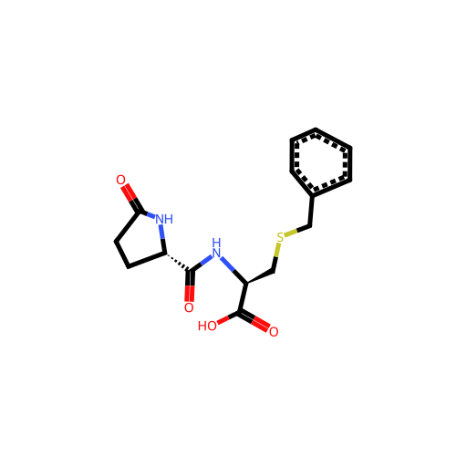 O=C1CC[C@@H](C(=O)N[C@@H](CSCc2ccccc2)C(=O)O)N1